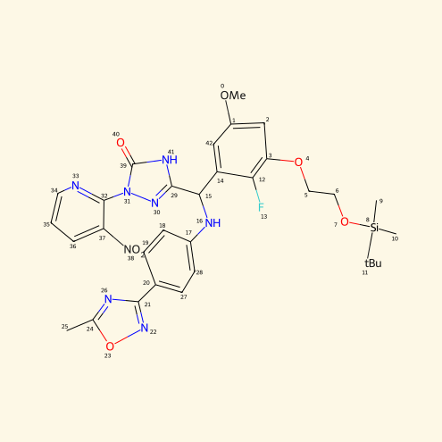 COc1cc(OCCO[Si](C)(C)C(C)(C)C)c(F)c(C(Nc2ccc(-c3noc(C)n3)cc2)c2nn(-c3ncccc3[N+](=O)[O-])c(=O)[nH]2)c1